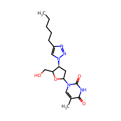 CCCCCc1cn([C@H]2CC(n3cc(C)c(=O)[nH]c3=O)OC2CO)nn1